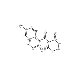 Cc1cnc2c(C(=O)C3C(=O)CCCC3=O)c(Cl)ccc2c1